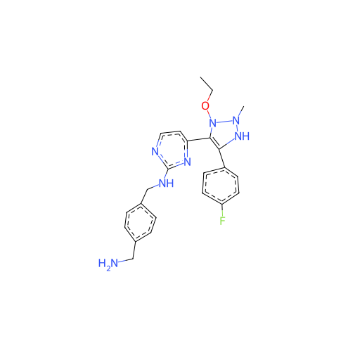 CCON1C(c2ccnc(NCc3ccc(CN)cc3)n2)=C(c2ccc(F)cc2)NN1C